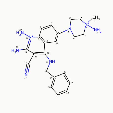 C[N+]1(N)CCN(c2ccc3c(c2)c(NCc2ccccc2)c(C#N)c(N)[n+]3N)CC1